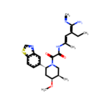 C=N/C(N)=C(\C=C(/C)NC(=O)C(=O)N1C[C@@H](C)[C@@H](OC)C[C@@H]1c1ccc2scnc2c1)CC